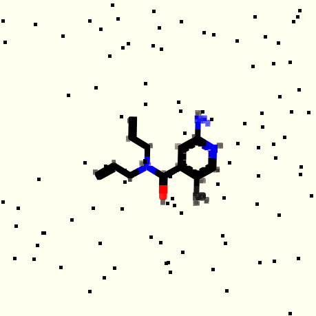 C=CCN(CC=C)C(=O)c1cc(N)ncc1[N+](=O)[O-]